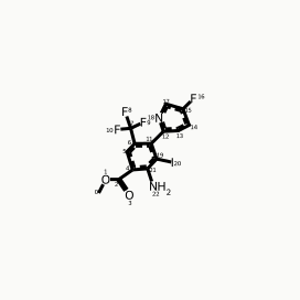 COC(=O)c1cc(C(F)(F)F)c(-c2ccc(F)cn2)c(I)c1N